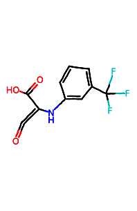 O=C=C(Nc1cccc(C(F)(F)F)c1)C(=O)O